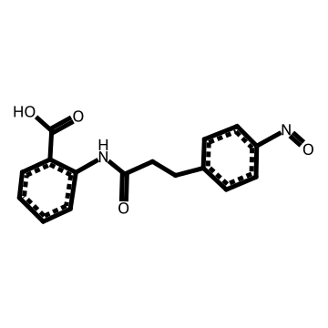 O=Nc1ccc(CCC(=O)Nc2ccccc2C(=O)O)cc1